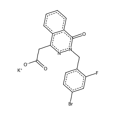 O=C([O-])Cc1nn(Cc2ccc(Br)cc2F)c(=O)c2ccccc12.[K+]